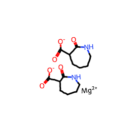 O=C([O-])C1CCCCNC1=O.O=C([O-])C1CCCCNC1=O.[Mg+2]